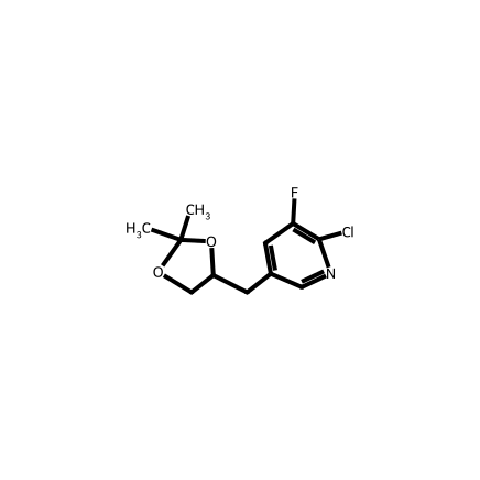 CC1(C)OCC(Cc2cnc(Cl)c(F)c2)O1